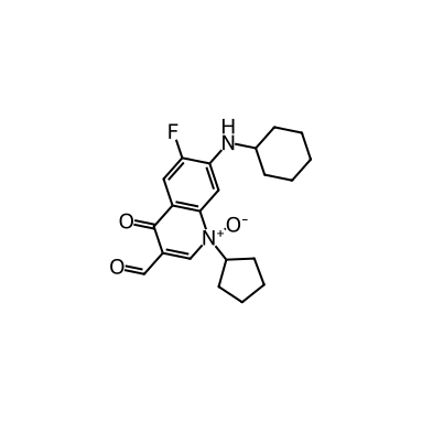 O=CC1=C[N+]([O-])(C2CCCC2)c2cc(NC3CCCCC3)c(F)cc2C1=O